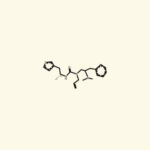 C=CCN(CC(Cc1ccccc1)N(C)C)C(=O)N[C@H](C)Cc1ccsc1